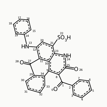 O=C(c1ccccc1)c1c2c3c(c(Nc4ccccc4)cc(S(=O)(=O)O)c3[nH]c1=O)C(=O)c1ccccc1-2